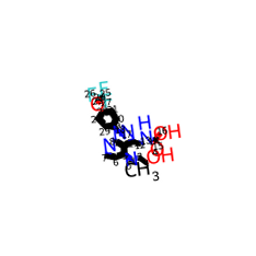 CN(CCO)c1ccnc2c1c(CNC(=O)O)nn2-c1ccc(OC(F)(F)F)cc1